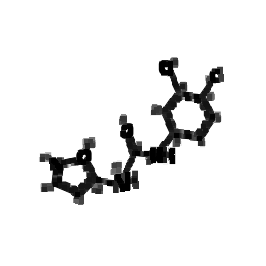 O=C(Nc1ccc(Cl)c(Cl)c1)Nc1ccno1